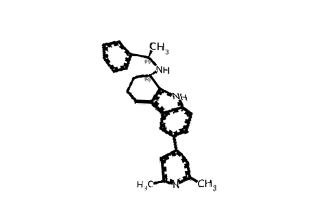 Cc1cc(-c2ccc3[nH]c4c(c3c2)CCC[C@H]4N[C@H](C)c2ccccc2)cc(C)n1